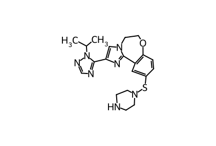 CC(C)n1ncnc1-c1cn2c(n1)-c1cc(SN3CCNCC3)ccc1OCC2